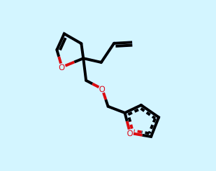 C=CCC1(COCc2ccco2)CC=CO1